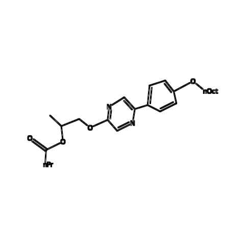 CCCCCCCCOc1ccc(-c2cnc(OCC(C)OC(=O)CCC)cn2)cc1